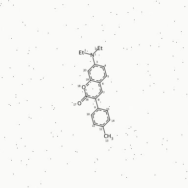 CCN(CC)c1ccc2cc(-c3ccc(C)cc3)c(=O)oc2c1